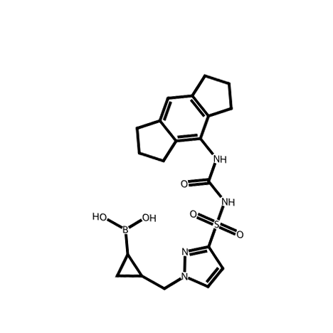 O=C(Nc1c2c(cc3c1CCC3)CCC2)NS(=O)(=O)c1ccn(CC2CC2B(O)O)n1